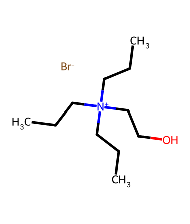 CCC[N+](CCC)(CCC)CCO.[Br-]